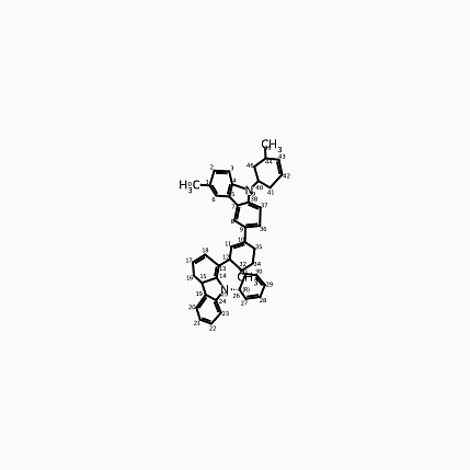 Cc1ccc2c(c1)c1cc(C3=CC(C4=C5C(CC=C4)c4ccccc4N5[C@H]4C=CC=CC4)C(C)CC3)ccc1n2C1CC=CC(C)C1